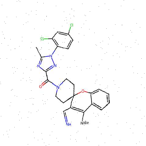 CNC1=C(C=N)C2(CCN(C(=O)c3nc(C)n(-c4ccc(Cl)cc4Cl)n3)CC2)Oc2ccccc21